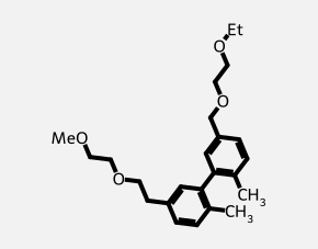 CCOCCOCc1ccc(C)c(-c2cc(CCOCCOC)ccc2C)c1